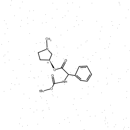 CN1CC[C@H](OC(=O)C(NC(=O)OC(C)(C)C)c2ccccc2)C1